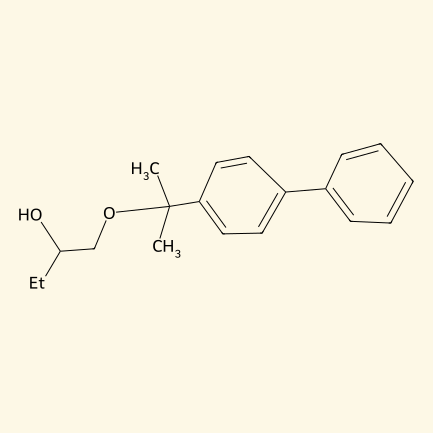 CCC(O)COC(C)(C)c1ccc(-c2ccccc2)cc1